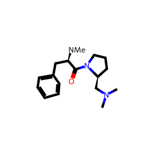 CN[C@H](Cc1ccccc1)C(=O)N1CCC[C@H]1CN(C)C